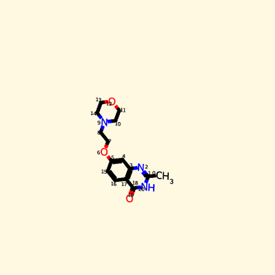 Cc1nc2cc(OCCN3CCOCC3)ccc2c(=O)[nH]1